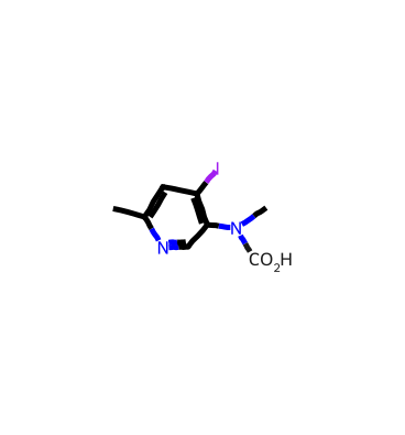 Cc1cc(I)c(N(C)C(=O)O)cn1